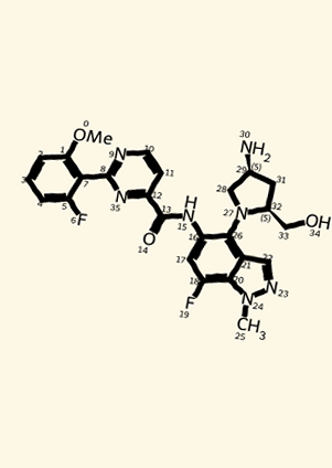 COc1cccc(F)c1-c1nccc(C(=O)Nc2cc(F)c3c(cnn3C)c2N2C[C@@H](N)C[C@H]2CO)n1